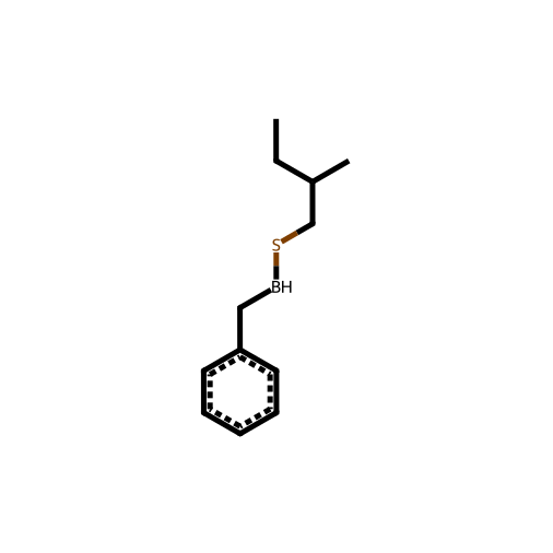 CCC(C)CSBCc1ccccc1